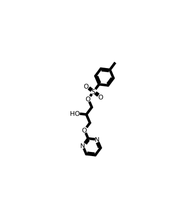 Cc1ccc(S(=O)(=O)OCC(O)COc2ncccn2)cc1